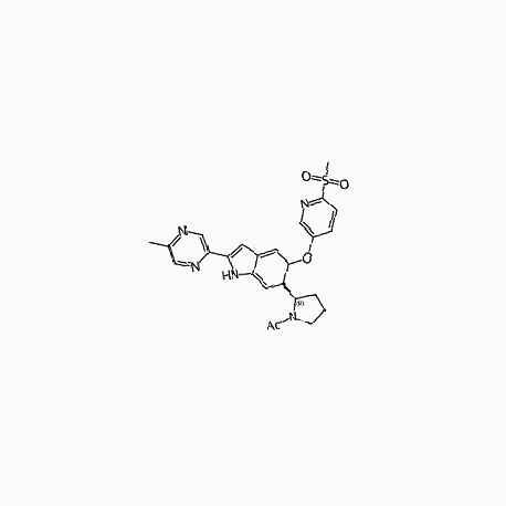 CC(=O)N1CCC[C@@H]1C1C=c2[nH]c(-c3cnc(C)cn3)cc2=CC1Oc1ccc(S(C)(=O)=O)nc1